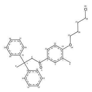 Cc1cc(C(=O)CC(C)(c2ccccc2)c2ccccc2)ccc1OCCCCCl